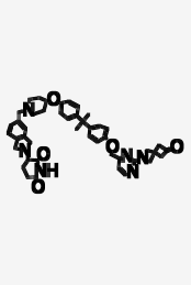 CC(C)(c1ccc(OCc2ccnc(N3CC4(CC(=O)C4)C3)n2)cc1)c1ccc(OC2CCN(Cc3ccc4c(c3)CN(C3CCC(=O)NC3=O)C4)CC2)cc1